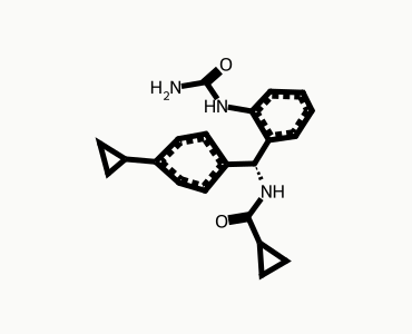 NC(=O)Nc1ccccc1[C@H](NC(=O)C1CC1)c1ccc(C2CC2)cc1